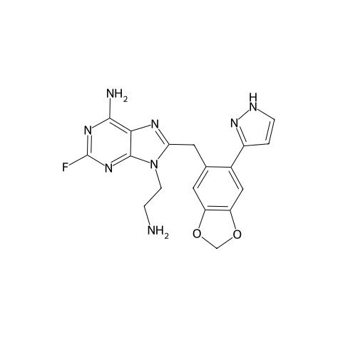 NCCn1c(Cc2cc3c(cc2-c2cc[nH]n2)OCO3)nc2c(N)nc(F)nc21